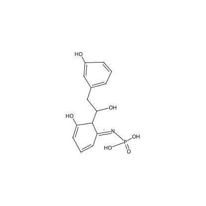 O=P(O)(O)/N=C1\C=CC=C(O)C1C(O)Cc1cccc(O)c1